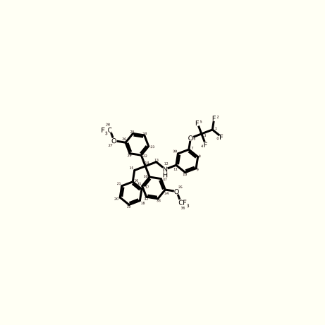 FC(F)C(F)(F)Oc1cccc(NCC(Cc2ccccc2)(c2cccc(OC(F)(F)F)c2)c2cccc(OC(F)(F)F)c2)c1